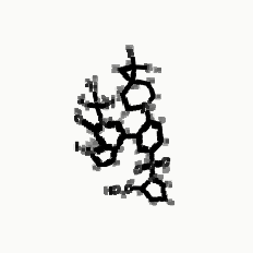 [2H]C([2H])([2H])n1cc(-c2cc(S(=O)(=O)N3CCCC3C(=O)O)ccc2N2CCC3(CC2)CC3(F)F)c2cc[nH]c2c1=O